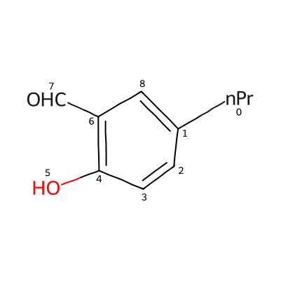 CCCc1ccc(O)c(C=O)c1